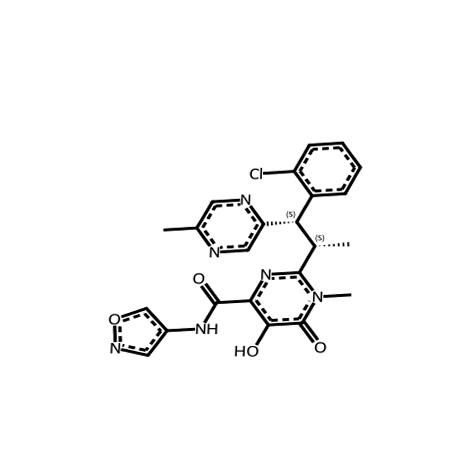 Cc1cnc([C@H](c2ccccc2Cl)[C@H](C)c2nc(C(=O)Nc3cnoc3)c(O)c(=O)n2C)cn1